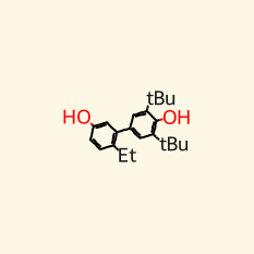 CCc1ccc(O)cc1-c1cc(C(C)(C)C)c(O)c(C(C)(C)C)c1